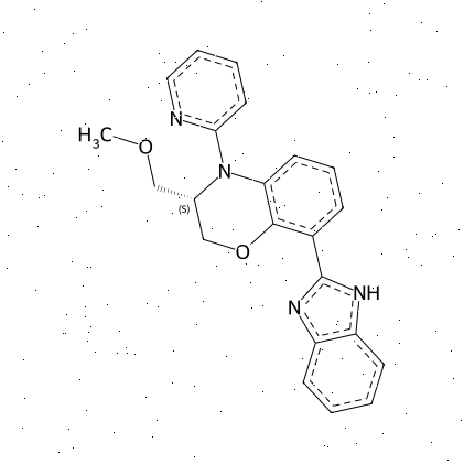 COC[C@H]1COc2c(-c3nc4ccccc4[nH]3)cccc2N1c1ccccn1